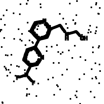 OCNCc1cc(-c2ccc(N(F)F)cn2)ccn1